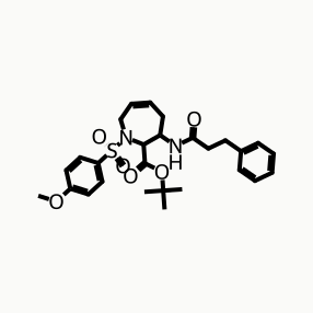 COc1ccc(S(=O)(=O)N2CC=CCC(NC(=O)CCc3ccccc3)C2C(=O)OC(C)(C)C)cc1